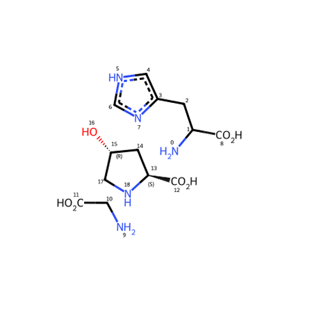 NC(Cc1c[nH]cn1)C(=O)O.NCC(=O)O.O=C(O)[C@@H]1C[C@@H](O)CN1